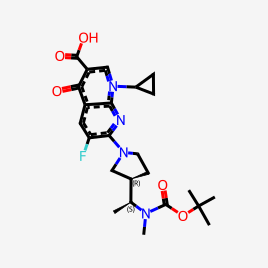 C[C@@H]([C@@H]1CCN(c2nc3c(cc2F)c(=O)c(C(=O)O)cn3C2CC2)C1)N(C)C(=O)OC(C)(C)C